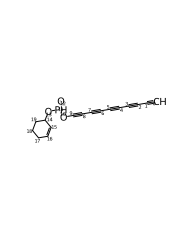 C#CC#CC#CC#CC#CO[PH](=O)OC1C=CCCC1